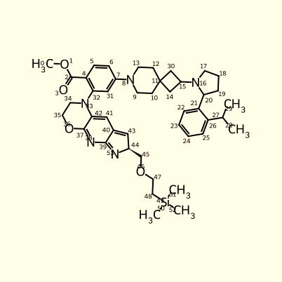 COC(=O)c1ccc(N2CCC3(CC2)CC(N2CCCC2c2ccccc2C(C)C)C3)cc1N1CCOc2nc3c(cc21)=C[C@@H](COCC[Si](C)(C)C)N=3